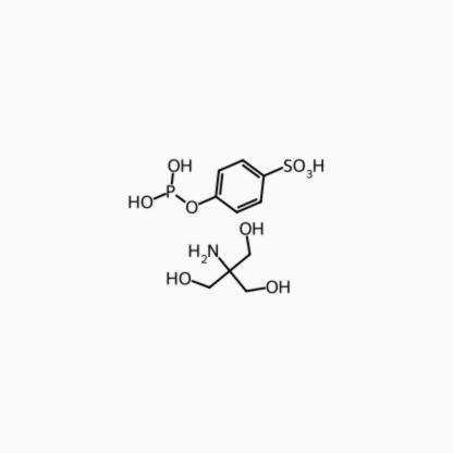 NC(CO)(CO)CO.O=S(=O)(O)c1ccc(OP(O)O)cc1